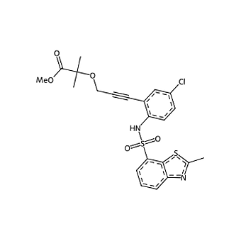 COC(=O)C(C)(C)OCC#Cc1cc(Cl)ccc1NS(=O)(=O)c1cccc2nc(C)sc12